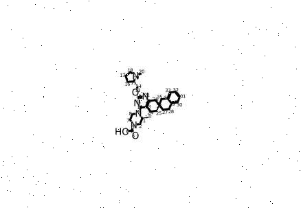 C[C@H]1CN(C(=O)O)CCN1c1nc(OC[C@@H]2CCCN2C)nc2c1CC[C@@]1(CCc3ccccc3C1)C2